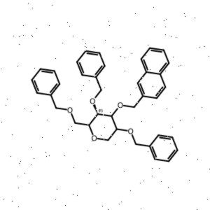 c1ccc(COCC2OCC(OCc3ccccc3)C(OCc3ccc4ccccc4c3)[C@@H]2OCc2ccccc2)cc1